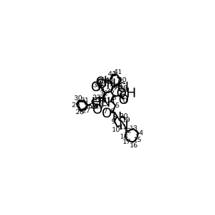 O=C(O)C1=C(CC(=O)N2CCN(C3CCCCCC3)CC2)NC(C[S+]([O-])c2ccccc2)=C(C(=O)O)C1c1c(Cl)cccc1Cl